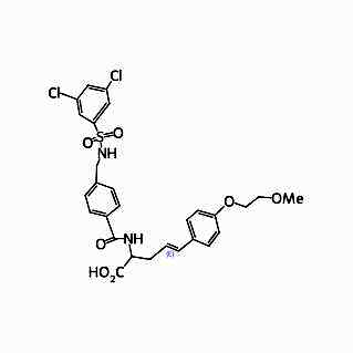 COCCOc1ccc(/C=C/CC(NC(=O)c2ccc(CNS(=O)(=O)c3cc(Cl)cc(Cl)c3)cc2)C(=O)O)cc1